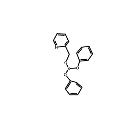 c1ccc(OB(OCc2ccccn2)Oc2ccccc2)cc1